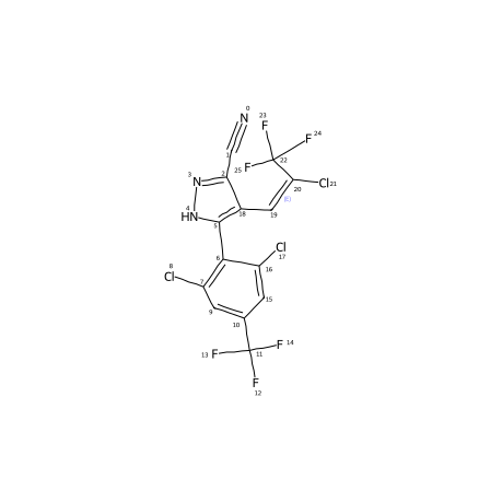 N#Cc1n[nH]c(-c2c(Cl)cc(C(F)(F)F)cc2Cl)c1/C=C(/Cl)C(F)(F)F